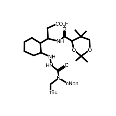 CCCCCCCCCN(CC(C)(C)C)C(=O)NNC1CCCCC1C(CC(=O)O)NC(=O)C1OC(C)(C)OCC1(C)C